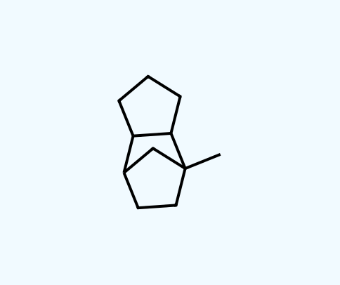 CC12CCC(C1)C1CCCC12